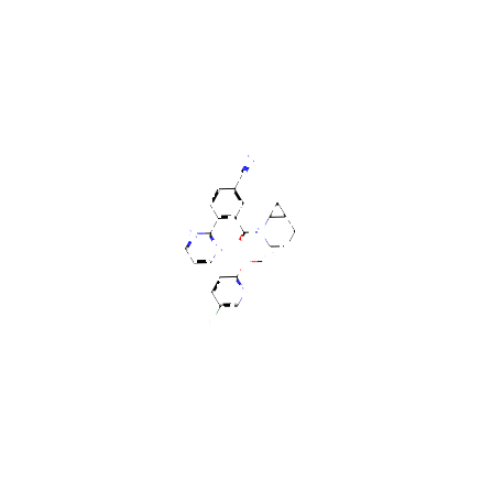 N#Cc1ccc(-c2ncccn2)c(C(=O)N2C3CC3CC[C@H]2COc2ccc(F)cn2)c1